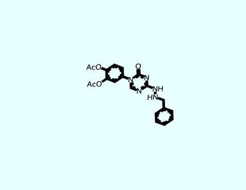 CC(=O)Oc1ccc(-n2cnc(NNCc3ccccc3)nc2=O)cc1OC(C)=O